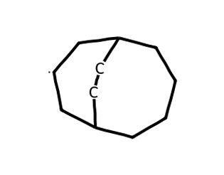 [CH]1CC2CCCCC(C1)CC2